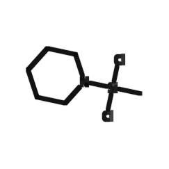 C[Si](Cl)(Cl)N1CCCCC1